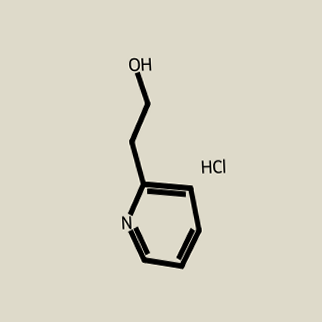 Cl.OCCc1ccccn1